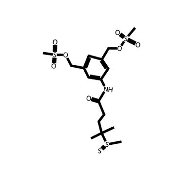 CS(=S)C(C)(C)CCC(=O)Nc1cc(COS(C)(=O)=O)cc(COS(C)(=O)=O)c1